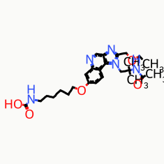 CCOCc1nc2cnc3cc(OCCCCCCNC(=O)O)ccc3c2n1CC(C)(C)NC(C)=O